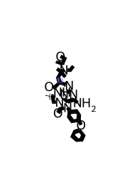 CCN(C1COC1)C(C)(C)/C=C(\C#N)C(=O)N[C@@H](C)Cn1c(=O)n(-c2ccc(Oc3ccccc3)cc2)c2c(N)ncnc21